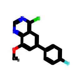 COc1cc(-c2ccc(F)cc2)cc2c(Cl)ncnc12